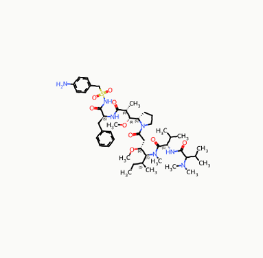 CC[C@H](C)[C@@H]([C@@H](CC(=O)N1CCC[C@H]1[C@H](OC)[C@@H](C)C(=O)N[C@@H](Cc1ccccc1)C(=O)NS(=O)(=O)Cc1ccc(N)cc1)OC)N(C)C(=O)[C@@H](NC(=O)C(C(C)C)N(C)C)C(C)C